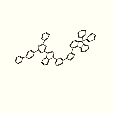 c1ccc(-c2ccc(-c3cc(-c4ccc(-c5cccc(-c6cccc(-c7cccc8c7-c7ccccc7C8(c7ccccc7)c7ccccc7)c6)c5)c5ccccc45)nc(-c4ccccc4)n3)cc2)cc1